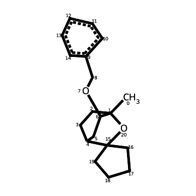 CC12CCC(CC1OCc1ccccc1)C1(CCCC1)O2